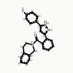 O=C(c1ccccc1-c1cc(-c2ccc(F)cc2)[nH]n1)N1CCc2ccccc2C1